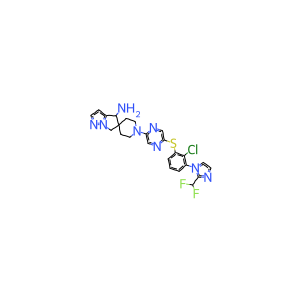 N[C@@H]1c2ccnn2CC12CCN(c1cnc(Sc3cccc(-n4ccnc4C(F)F)c3Cl)cn1)CC2